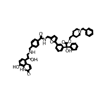 O=C(NCc1ccc(-c2cccc([C@](O)(C(=O)OCC3CCN(Cc4ccccc4)CC3)c3ccccc3)c2)o1)c1ccc(CNC[C@H](O)c2ccc(O)c3[nH]c(=O)ccc23)cc1